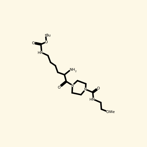 COCCNC(=O)N1CCN(C(=O)C(N)CCCCNC(=O)OC(C)(C)C)CC1